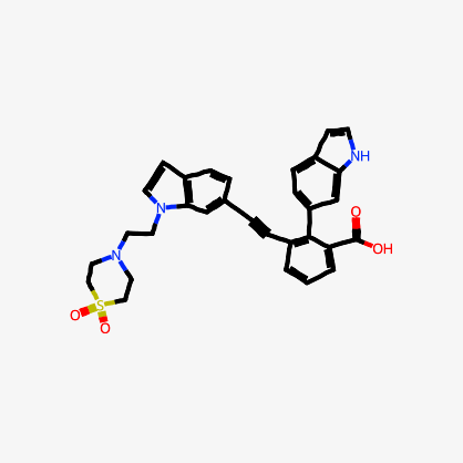 O=C(O)c1cccc(C#Cc2ccc3ccn(CCN4CCS(=O)(=O)CC4)c3c2)c1-c1ccc2cc[nH]c2c1